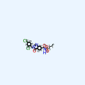 CCCCS(=O)(=O)NC(=O)c1ccc2c(=O)n(Cc3ccc(Cl)cc3Cl)cnc2c1